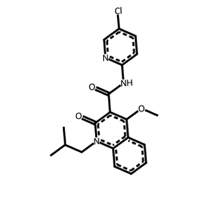 COc1c(C(=O)Nc2ccc(Cl)cn2)c(=O)n(CC(C)C)c2ccccc12